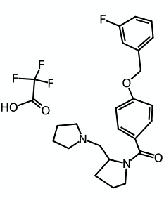 O=C(O)C(F)(F)F.O=C(c1ccc(OCc2cccc(F)c2)cc1)N1CCCC1CN1CCCC1